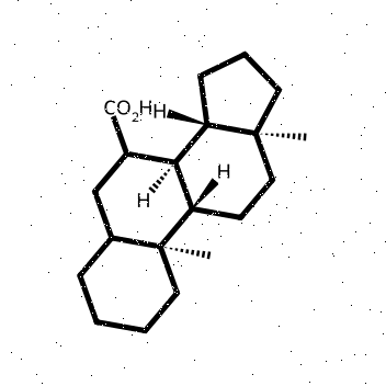 C[C@@]12CCC[C@H]1[C@@H]1C(C(=O)O)CC3CCCC[C@]3(C)[C@H]1CC2